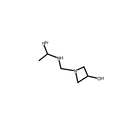 CCCC(C)NCN1CC(O)C1